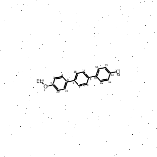 CCOc1c[c]c(-c2ccc(-c3ccc(Cl)cc3)cc2)cc1